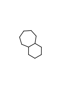 C1CCC2CCCCC2CC1